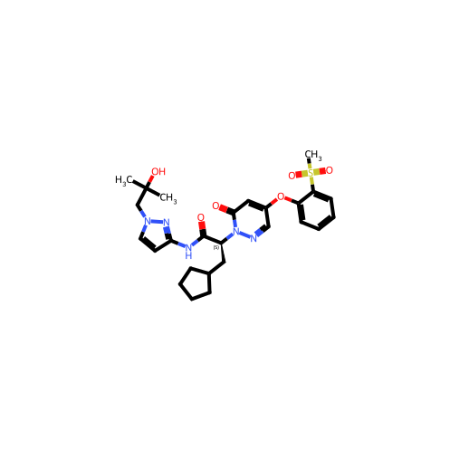 CC(C)(O)Cn1ccc(NC(=O)[C@H](CC2CCCC2)n2ncc(Oc3ccccc3S(C)(=O)=O)cc2=O)n1